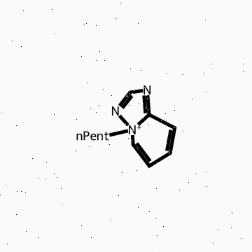 CCCCC[N+]12C=CC=CC1=NC=N2